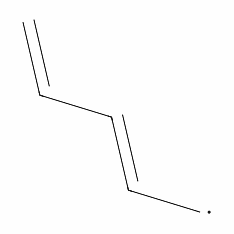 [CH2]C=CC=C